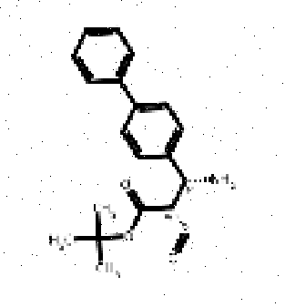 CC(C)(C)OC(=O)[C@@H](C=O)[C@@H](N)c1ccc(-c2ccccc2)cc1